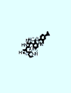 CC[C@@]1(c2n[nH]cc2-c2cc3c(-c4cccc(-n5ncc6cc(C7CC7)ccc6c5=O)c4CO)ncnc3[nH]2)CCCNC1